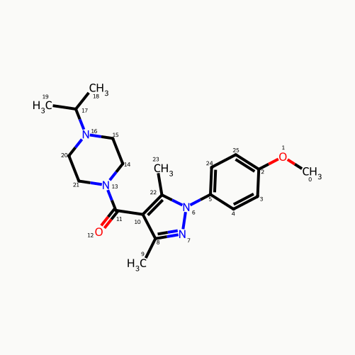 COc1ccc(-n2nc(C)c(C(=O)N3CCN(C(C)C)CC3)c2C)cc1